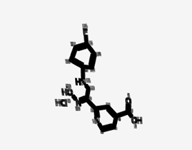 Cl.O=C(O)c1ccnc(/C(CNc2ccc(F)cc2)=N/O)c1